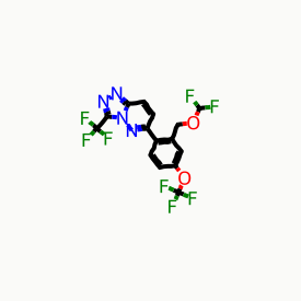 FC(F)OCc1cc(OC(F)(F)F)ccc1-c1ccc2nnc(C(F)(F)F)n2n1